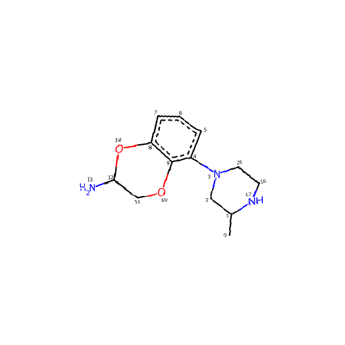 CC1CN(c2cccc3c2OCC(N)O3)CCN1